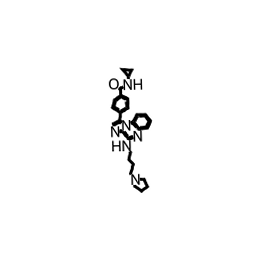 O=C(NC1CC1)c1ccc(-c2cnc3c(NCCCCN4CCCC4)nc4ccccc4n23)cc1